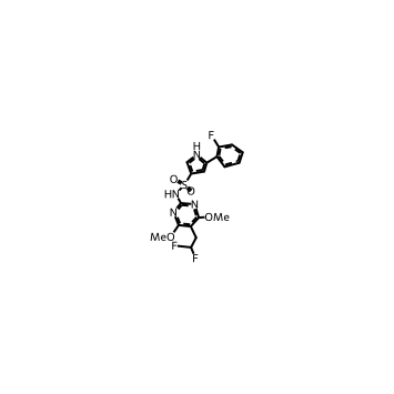 COc1nc(NS(=O)(=O)c2c[nH]c(-c3ccccc3F)c2)nc(OC)c1CC(F)F